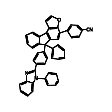 N#Cc1ccc(-c2cc3c(c4ccoc24)-c2ccccc2C3(c2ccccc2)c2ccc(-c3nc4ccccc4n3-c3ccccc3)cc2)cc1